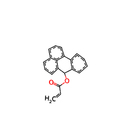 C=CC(=O)OC1c2ccccc2-c2cccc3cccc1c23